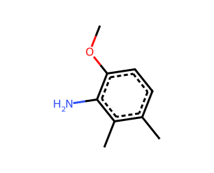 COc1ccc(C)c(C)c1N